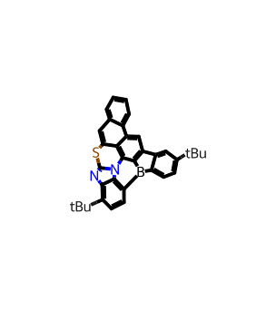 CC(C)(C)c1ccc2c(c1)-c1cc3c4ccccc4cc4sc5nc6c(C(C)(C)C)ccc7c6n5c(c1B27)c43